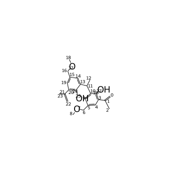 C=C(C)c1cc(COC)cc(C(C)c2cc(COC)cc(C(=C)C)c2O)c1O